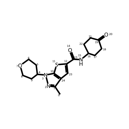 Cc1nn(C2CCOCC2)c2sc(C(=O)NC3CCC(=O)CC3)cc12